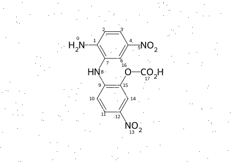 Nc1ccc([N+](=O)[O-])cc1Nc1ccc([N+](=O)[O-])cc1OC(=O)O